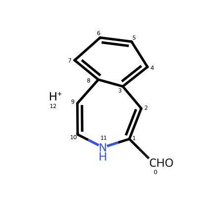 O=CC1=Cc2ccccc2C=CN1.[H+]